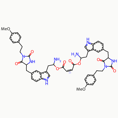 COc1ccc(CCN2C(=O)NC(Cc3ccc4[nH]cc(CC(N)OC(=O)/C=C\C(=O)OC(N)Cc5c[nH]c6ccc(CC7NC(=O)N(CCc8ccc(OC)cc8)C7=O)cc56)c4c3)C2=O)cc1